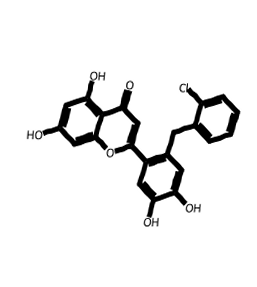 O=c1cc(-c2cc(O)c(O)cc2Cc2ccccc2Cl)oc2cc(O)cc(O)c12